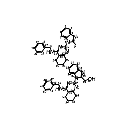 Cc1nc2ccccc2n1-c1nc2c(c(NCc3ccccc3)n1)CCCC2.OCc1nc2ccccc2n1-c1nc2c(c(NCc3ccccc3)n1)CCCC2